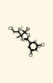 CC1(CCCl)N=C(c2cc(Cl)cc(Cl)c2)OC1(Br)Br